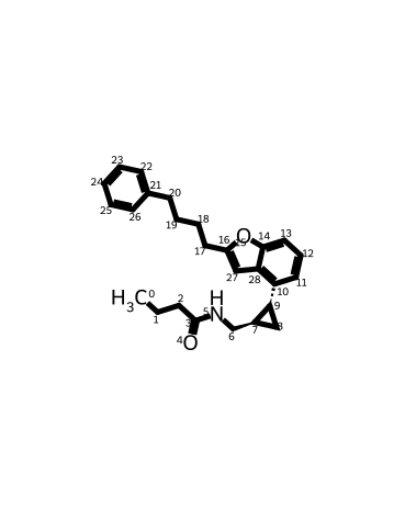 CCCC(=O)NC[C@@H]1C[C@H]1c1cccc2oc(CCCCc3ccccc3)cc12